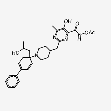 CC(=O)ONC(=O)c1nc(CC2CCN(C3(CC(C)O)C=CC(c4ccccc4)=CC3)CC2)nc(C)c1O